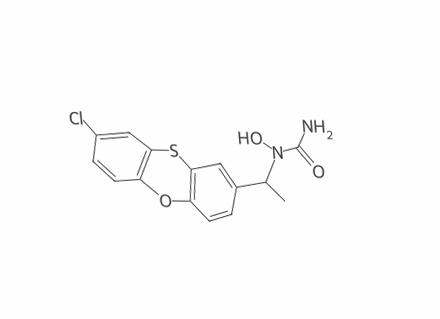 CC(c1ccc2c(c1)Sc1cc(Cl)ccc1O2)N(O)C(N)=O